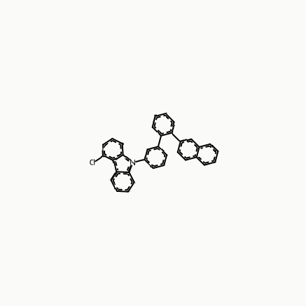 Clc1cccc2c1c1ccccc1n2-c1cccc(-c2ccccc2-c2ccc3ccccc3c2)c1